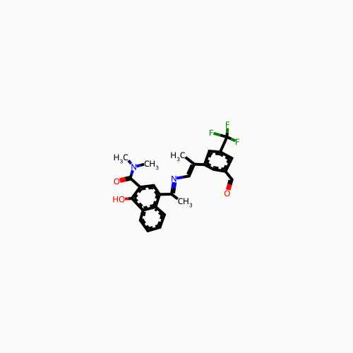 C/C(=C\N=C(/C)c1cc(C(=O)N(C)C)c(O)c2ccccc12)c1cc(C=O)cc(C(F)(F)F)c1